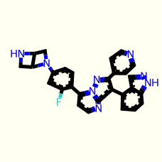 Fc1cc(N2CC3NCC32)ccc1-c1ccnc2c(-c3cccc4[nH]ncc34)c(-c3ccncc3)nn12